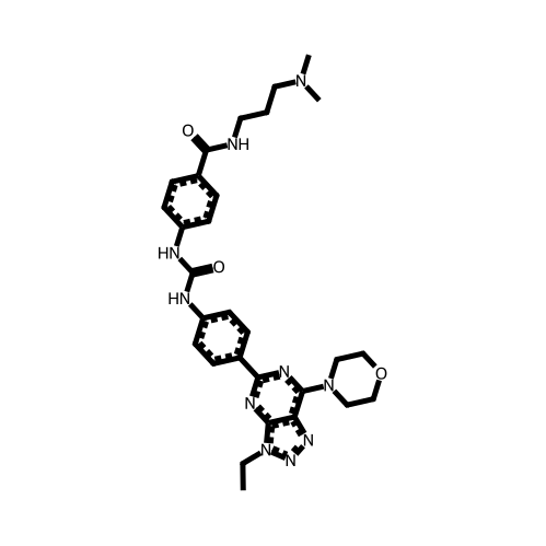 CCn1nnc2c(N3CCOCC3)nc(-c3ccc(NC(=O)Nc4ccc(C(=O)NCCCN(C)C)cc4)cc3)nc21